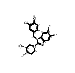 N[C@@H]1CN(c2nc3cc(F)c(F)cc3n2Cc2ccc(Cl)c(Cl)c2)CC[C@H]1F